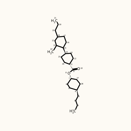 CCCC[C@H]1CC[C@H](OC(=O)[C@H]2CC[C@H](C3CCC(CCC)CC3C)CC2)CC1